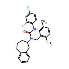 Cc1ccc(C)c(CN(C(=O)Nc2ccc(F)cc2F)C2CCCc3ccccc3C2)c1